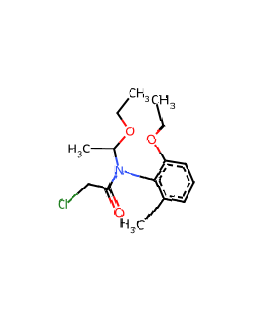 CCOc1cccc(C)c1N(C(=O)CCl)C(C)OCC